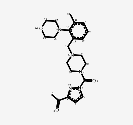 CC(=O)c1ccn(C(=O)N2CCN(Cc3cccc(C)c3N3CCOCC3)CC2)n1